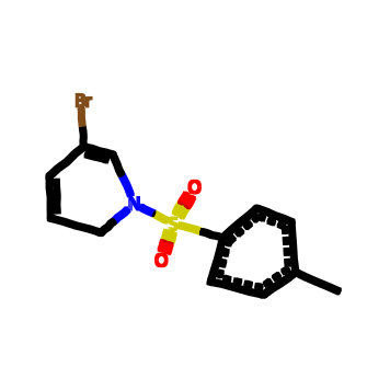 Cc1ccc(S(=O)(=O)N2C=C(Br)C=CC2)cc1